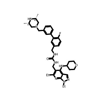 CCc1nc2c(cnn2CC)c(NC2CCOCC2)c1CNC(=O)NCc1ccc(F)c(-c2cccc(CN3C[C@@H](C)N[C@@H](C)C3)c2)c1